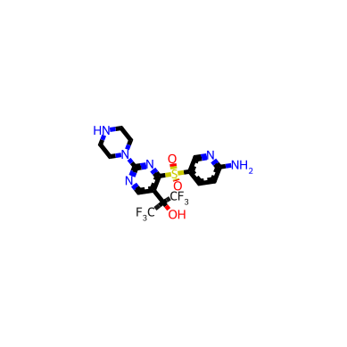 Nc1ccc(S(=O)(=O)c2nc(N3CCNCC3)ncc2C(O)(C(F)(F)F)C(F)(F)F)cn1